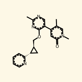 Cc1ncc(-c2cc(=O)n(C)cc2C)c(OC[C@H]2C[C@@H]2c2ccccn2)n1